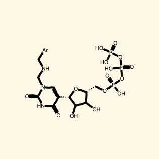 CC(=O)CNCn1cc([C@@H]2O[C@H](COP(=O)(O)OP(=O)(O)OP(=O)(O)O)C(O)C2O)c(=O)[nH]c1=O